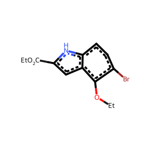 CCOC(=O)c1cc2c(OCC)c(Br)ccc2[nH]1